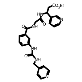 CCOC(=O)CC(NC(=O)CNC(=O)c1cccc(NC(=O)NCc2ccncc2)c1)c1cccnc1